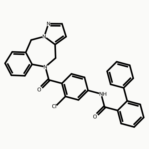 O=C(Nc1ccc(C(=O)N2Cc3ccnn3Cc3ccccc32)c(Cl)c1)c1ccccc1-c1ccccc1